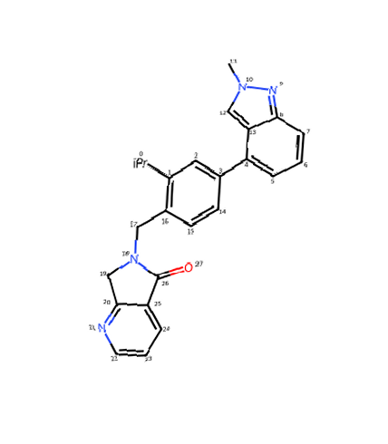 CC(C)c1cc(-c2cccc3nn(C)cc23)ccc1CN1Cc2ncccc2C1=O